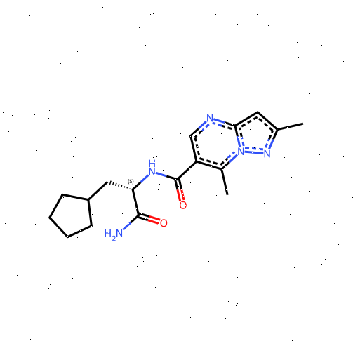 Cc1cc2ncc(C(=O)N[C@@H](CC3CCCC3)C(N)=O)c(C)n2n1